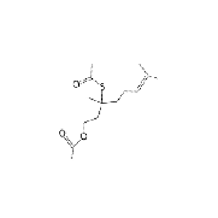 CC(=O)OCCC(C)(CCC=C(C)C)SC(C)=O